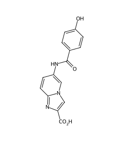 O=C(Nc1ccc2nc(C(=O)O)cn2c1)c1ccc(O)cc1